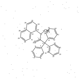 CC(C(=O)C(c1ccccc1)(c1ccccc1)c1ccccc1)c1cccc2ccccc12